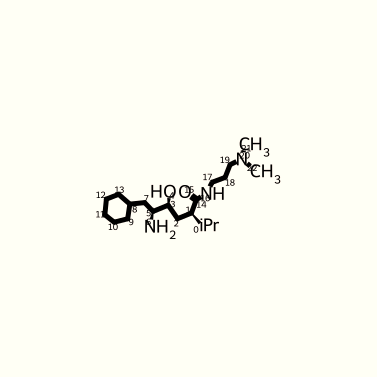 CC(C)[C@@H](C[C@H](O)[C@@H](N)CC1CCCCC1)C(=O)NCCCN(C)C